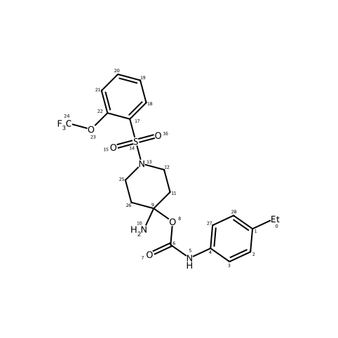 CCc1ccc(NC(=O)OC2(N)CCN(S(=O)(=O)c3ccccc3OC(F)(F)F)CC2)cc1